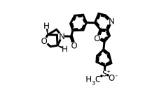 C[S+]([O-])c1ccc(-c2cc3nccc(-c4cccc(C(=O)N5C[C@@H]6C[C@H]5CO6)c4)c3o2)cc1